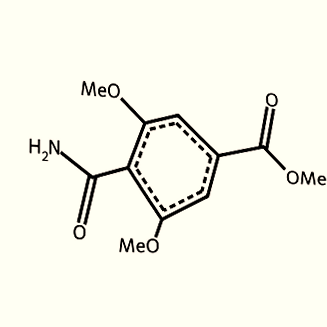 COC(=O)c1cc(OC)c(C(N)=O)c(OC)c1